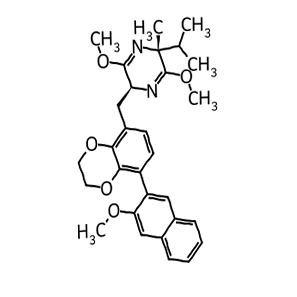 COC1=N[C@](C)(C(C)C)C(OC)=N[C@H]1Cc1ccc(-c2cc3ccccc3cc2OC)c2c1OCCO2